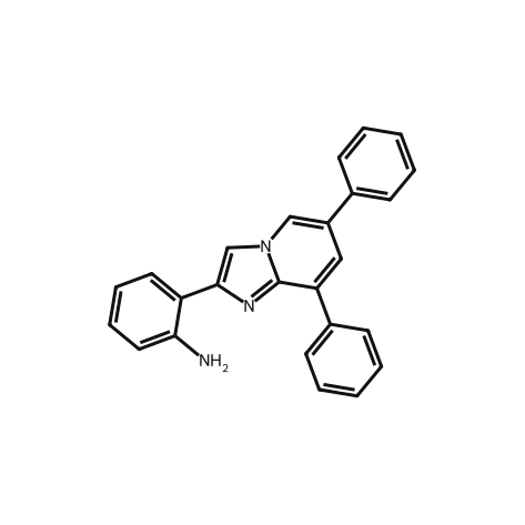 Nc1ccccc1-c1cn2cc(-c3ccccc3)cc(-c3ccccc3)c2n1